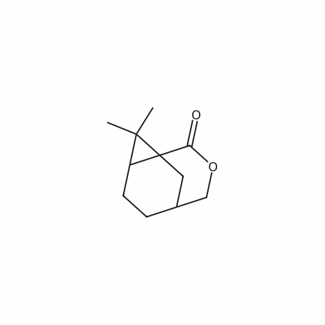 CC1(C)C2CCC3COC(=O)C21C3